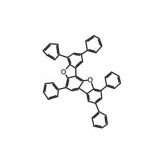 c1ccc(-c2cc(-c3ccccc3)c3oc4c(cc(-c5ccccc5)c5oc6c(-c7ccccc7)cc(-c7ccccc7)cc6c54)c3c2)cc1